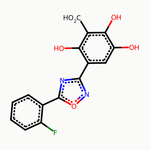 O=C(O)c1c(O)c(O)cc(-c2noc(-c3ccccc3F)n2)c1O